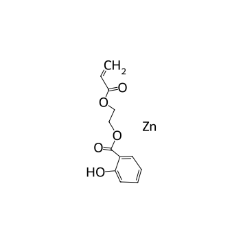 C=CC(=O)OCCOC(=O)c1ccccc1O.[Zn]